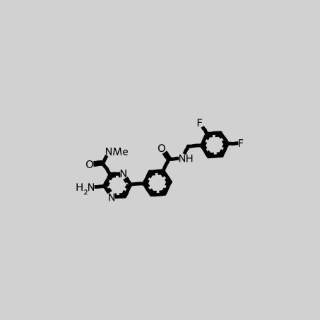 CNC(=O)c1nc(-c2cccc(C(=O)NCc3ccc(F)cc3F)c2)cnc1N